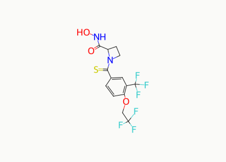 O=C(NO)C1CCN1C(=S)c1ccc(OCC(F)(F)F)c(C(F)(F)F)c1